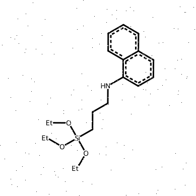 CCO[Si](CCCNc1cccc2ccccc12)(OCC)OCC